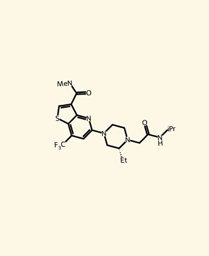 CC[C@@H]1CN(c2cc(C(F)(F)F)c3scc(C(=O)NC)c3n2)CCN1CC(=O)NC(C)C